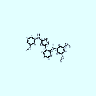 COc1cccc(Nc2nnc(-c3cccnc3Nc3cc(OC)cc(OC)c3)o2)c1